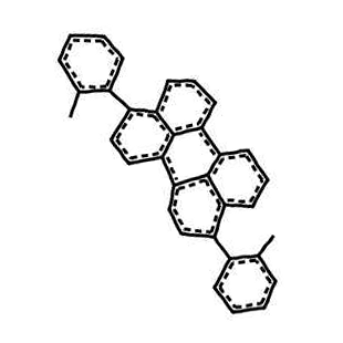 Cc1ccccc1-c1ccc2c3ccc(-c4ccccc4C)c4cccc(c5cccc1c52)c43